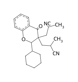 CC(C#N)CC1(CC(C)C#N)C(=O)c2ccccc2OC1C1CCCCC1